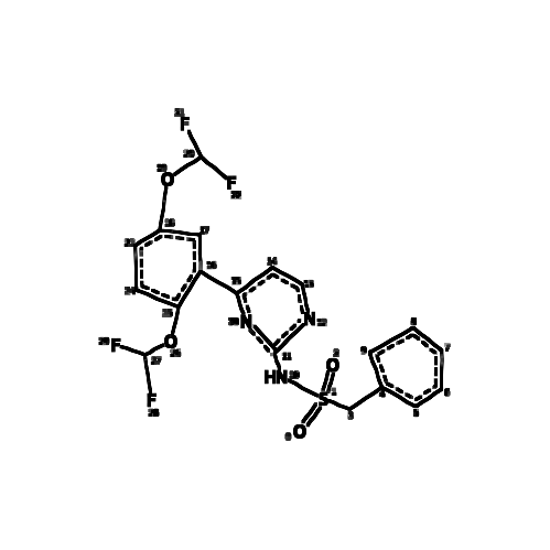 O=S(=O)(Cc1ccccc1)Nc1nccc(-c2cc(OC(F)F)ccc2OC(F)F)n1